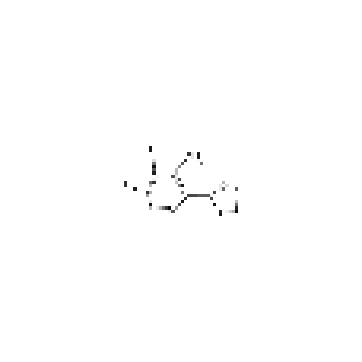 Nc1c(C2OCCO2)ccc(F)c1F